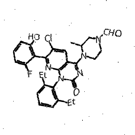 CCc1cccc(CC)c1-n1c(=O)nc(N2CCN(C=O)CC2C)c2cc(Cl)c(-c3c(O)cccc3F)nc21